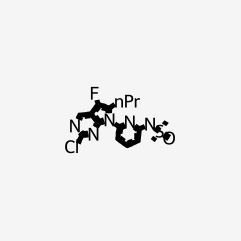 CCCc1c(F)c2cnc(Cl)nc2n1-c1cccc(N=S(C)(C)=O)n1